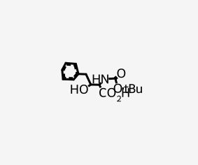 CC(C)(C)OC(=O)NC(C(=O)O)C(O)Cc1ccccc1